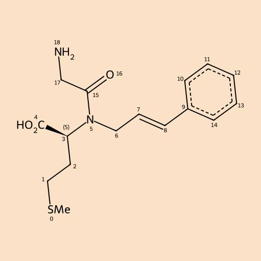 CSCC[C@@H](C(=O)O)N(CC=Cc1ccccc1)C(=O)CN